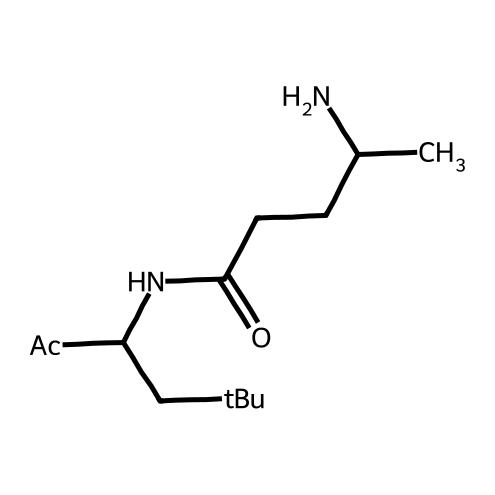 CC(=O)C(CC(C)(C)C)NC(=O)CCC(C)N